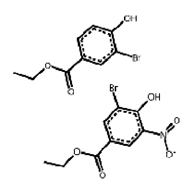 CCOC(=O)c1cc(Br)c(O)c([N+](=O)[O-])c1.CCOC(=O)c1ccc(O)c(Br)c1